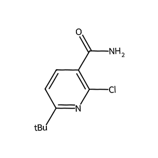 CC(C)(C)c1ccc(C(N)=O)c(Cl)n1